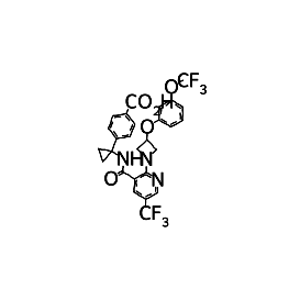 O=C(O)c1ccc(C2(NC(=O)c3cc(C(F)(F)F)cnc3N3CC(Oc4cccc(OC(F)(F)F)c4)C3)CC2)cc1